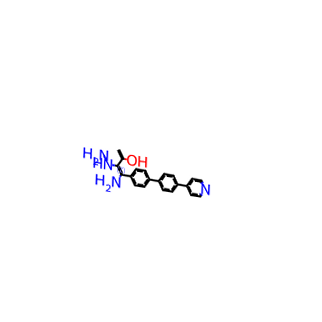 C=C(O)/C(NN)=C(/N)c1ccc(-c2ccc(-c3ccncc3)cc2)cc1